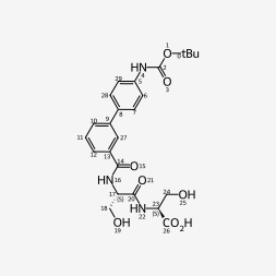 CC(C)(C)OC(=O)Nc1ccc(-c2cccc(C(=O)N[C@@H](CO)C(=O)N[C@@H](CO)C(=O)O)c2)cc1